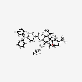 CC1=C(C(=O)O)C(C)(c2cccc([N+](=O)[O-])c2)C(C(=O)O)=C(C)N1CCN1CCN(C(c2ccccc2)c2ccccc2)CC1.Cl.Cl